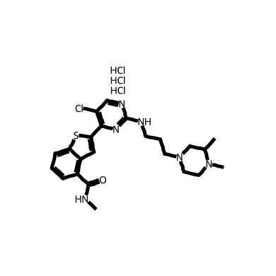 CNC(=O)c1cccc2sc(-c3nc(NCCCN4CCN(C)C(C)C4)ncc3Cl)cc12.Cl.Cl.Cl